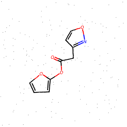 O=C(Cc1ccon1)Oc1ccco1